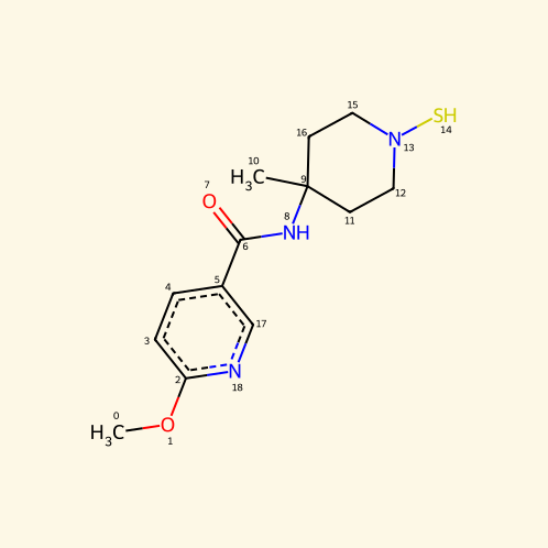 COc1ccc(C(=O)NC2(C)CCN(S)CC2)cn1